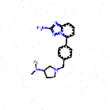 CC(=O)N(C)C1CCN(Cc2ccc(-c3cccc4nc(N)nn34)cc2)C1